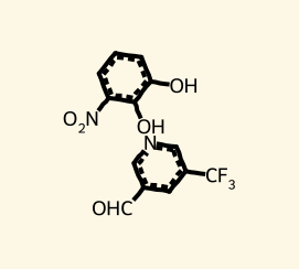 O=Cc1cncc(C(F)(F)F)c1.O=[N+]([O-])c1cccc(O)c1O